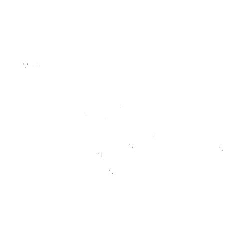 COCCCOC(=O)c1nnc(Cc2ccc3ncc(Cl)cc3c2)n1C